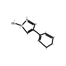 CC(C)(C)n1cc(C2=CCCC=C2)cn1